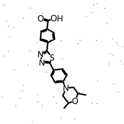 CC1CN(c2ccc(-c3nnc(-c4ccc(C(=O)O)cc4)s3)cc2)CC(C)O1